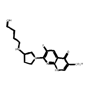 O=C(O)c1c[nH]c2nc(N3CCC(NCCCCO)C3)c(F)cc2c1=O